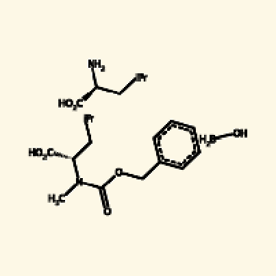 BO.CC(C)C[C@@H](C(=O)O)N(C)C(=O)OCc1ccccc1.CC(C)C[C@H](N)C(=O)O